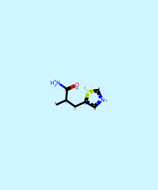 CC(Cc1cncs1)C(N)=O